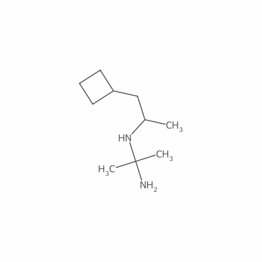 CC(CC1CCC1)NC(C)(C)N